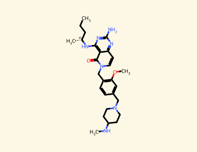 CCC[C@@H](C)Nc1nc(N)nc2ccn(Cc3ccc(CN4CCC(NC)CC4)cc3OC)c(=O)c12